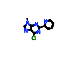 Cn1cnc2c(Cl)nc(-c3ccccn3)nc21